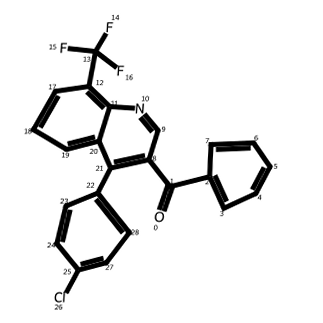 O=C(c1ccccc1)c1cnc2c(C(F)(F)F)cccc2c1-c1ccc(Cl)cc1